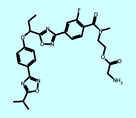 CCC(Oc1ccc(-c2noc(C(C)C)n2)cc1)c1nc(-c2ccc(C(=O)N(C)CCOC(=O)CN)c(F)c2)no1